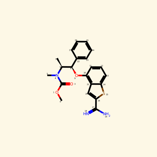 COC(=O)N(C)[C@@H](C)[C@H](Oc1cccc2sc(C(=N)N)cc12)c1ccccc1